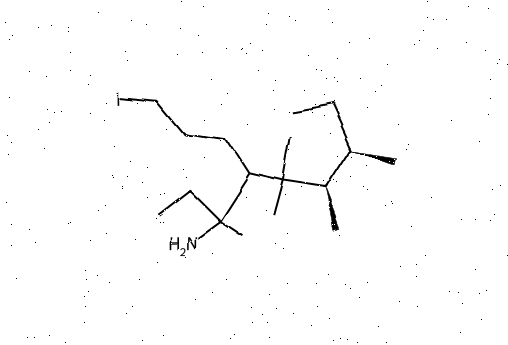 CC[C@@H](C)[C@@H](C)C(C)(C)C(CCCI)C(C)(N)CC